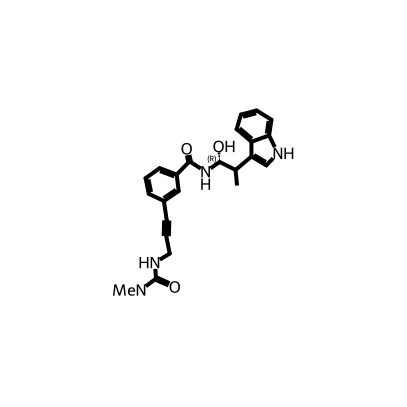 CNC(=O)NCC#Cc1cccc(C(=O)N[C@H](O)C(C)c2c[nH]c3ccccc23)c1